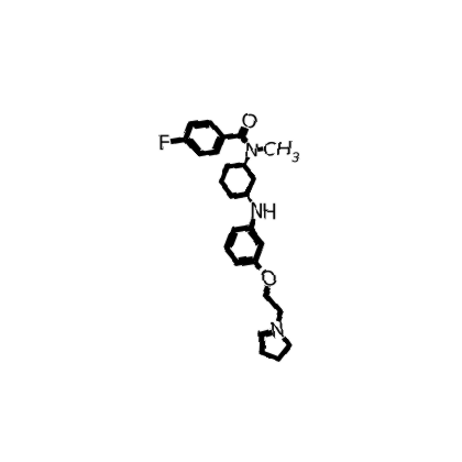 CN(C(=O)c1ccc(F)cc1)[C@@H]1CCC[C@H](Nc2cccc(OCCN3CCCC3)c2)C1